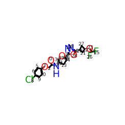 O=C(COc1ccc(Cl)cc1)N[C@H]1CC[C@H](c2nnc([C@H]3C[C@@H](OC(F)F)C3)o2)OC1